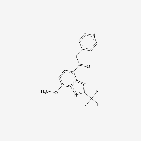 COc1ccc(C(=O)Cc2ccncc2)c2cc(C(F)(F)F)nn12